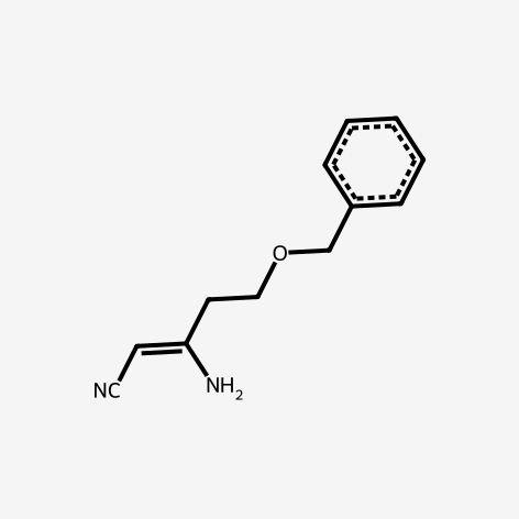 N#C/C=C(\N)CCOCc1ccccc1